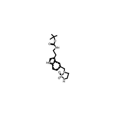 CC(C)(C)OC(=O)NCCc1c[nH]c2ccc(CN3CCNS3(=O)=O)cc12